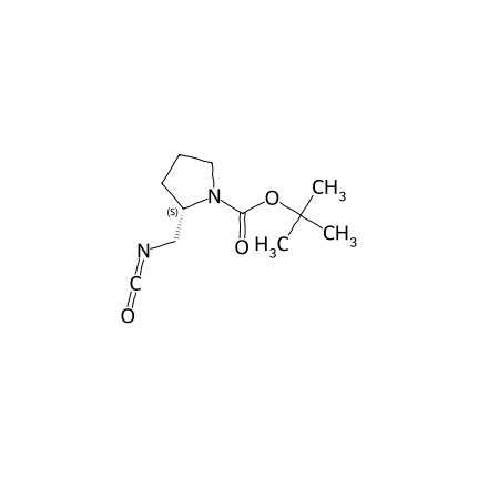 CC(C)(C)OC(=O)N1CCC[C@H]1CN=C=O